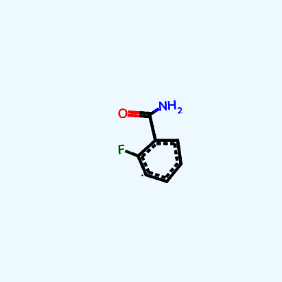 NC(=O)c1ccc[c]c1F